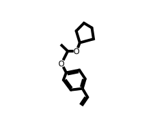 C=Cc1ccc(OC(C)OC2CCCC2)cc1